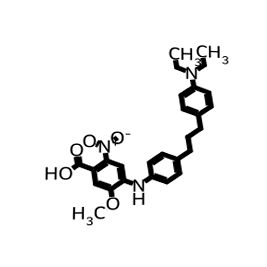 CCN(CC)c1ccc(CCCc2ccc(Nc3cc([N+](=O)[O-])c(C(=O)O)cc3OC)cc2)cc1